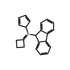 C1=C[CH]([Zr](=[C]2CCC2)[CH]2c3ccccc3-c3ccccc32)C=C1